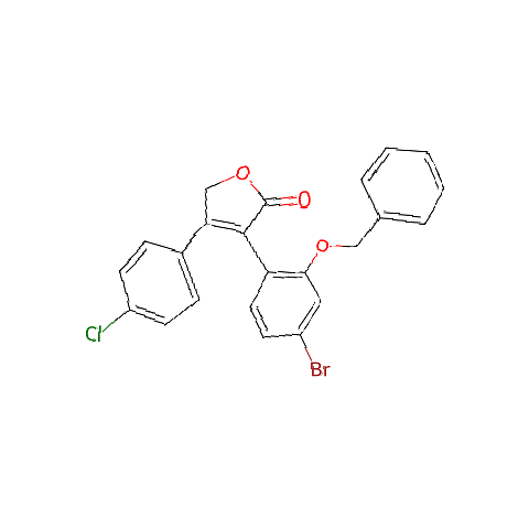 O=C1OCC(c2ccc(Cl)cc2)=C1c1ccc(Br)cc1OCc1ccccc1